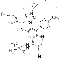 Cc1ncc(-c2cc(NC(c3ccc(F)cc3)c3cn(C4CC4)nn3)cc3c(NCC(C)(C)C)c(C#N)cnc23)cn1